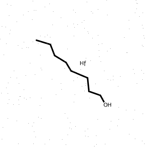 CCCCCCCCO.[Hf]